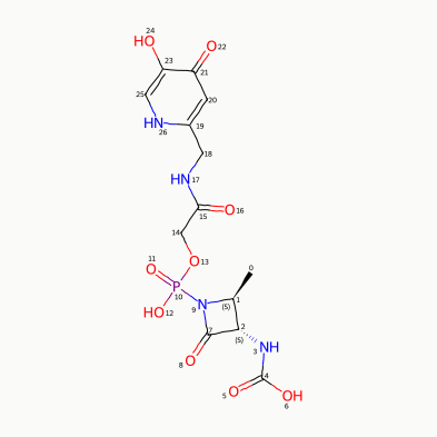 C[C@H]1[C@H](NC(=O)O)C(=O)N1P(=O)(O)OCC(=O)NCc1cc(=O)c(O)c[nH]1